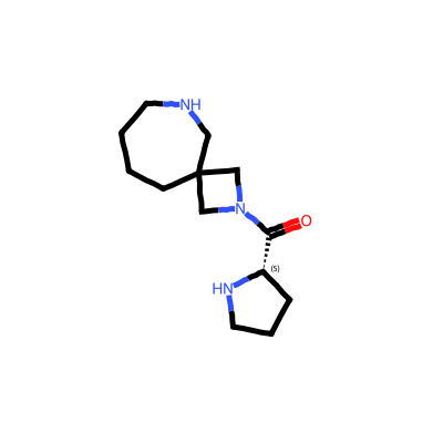 O=C([C@@H]1CCCN1)N1CC2(CCCCNC2)C1